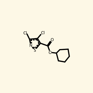 O=C(OC1CCCCC1)c1snc(Cl)c1Cl